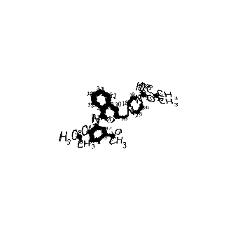 CC(=O)c1ccc(OC(C)C)c(/N=c2\oc(CN3CCN(C(=O)OC(C)(C)C)CC3)cc3ccccc23)c1